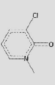 Cn1cccc(Cl)c1=O